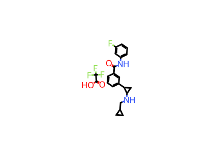 O=C(Nc1cccc(F)c1)c1cccc(C2CC2NCC2CC2)c1.O=C(O)C(F)(F)F